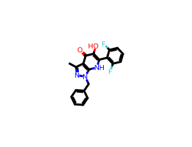 Cc1nn(Cc2ccccc2)c2[nH]c(-c3c(F)cccc3F)c(O)c(=O)c12